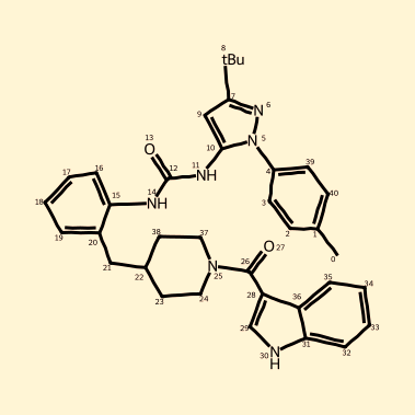 Cc1ccc(-n2nc(C(C)(C)C)cc2NC(=O)Nc2ccccc2CC2CCN(C(=O)c3c[nH]c4ccccc34)CC2)cc1